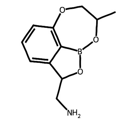 CC1COc2cccc3c2B(O1)OC3CN